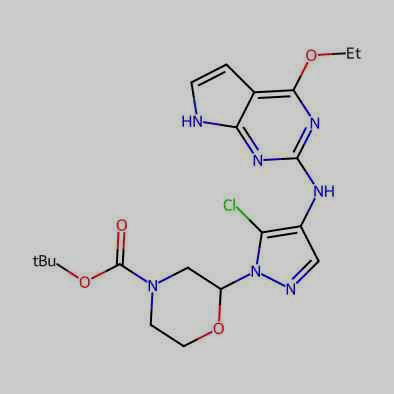 CCOc1nc(Nc2cnn(C3CN(C(=O)OC(C)(C)C)CCO3)c2Cl)nc2[nH]ccc12